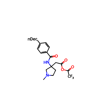 CCCCCCCCCCc1ccc(C(=O)NC2(CC(=O)OC(=O)C(F)(F)F)CCN(C)C2)cc1